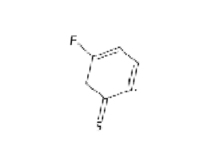 FC1=CC=[C]C(=S)C1